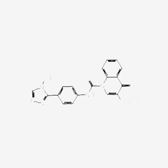 Cn1cnnc1-c1ccc(NC(=O)n2cc(C(=O)O)c(=O)c3ccccc32)cc1